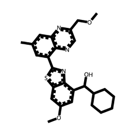 COCc1cnc2c(-c3nc4c(C(O)C5CCCCC5)cc(OC)cc4s3)cc(C)cc2n1